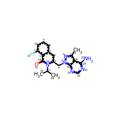 Cc1nn(Cc2cc3cccc(F)c3c(=O)n2C(C)C)c2ncnc(N)c12